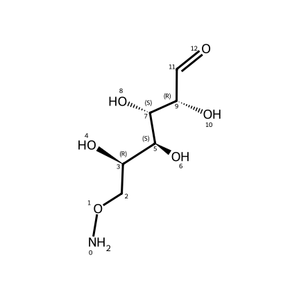 NOC[C@@H](O)[C@H](O)[C@H](O)[C@@H](O)C=O